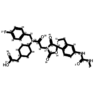 CNC(=O)Nc1ccc2c(c1)CC[C@@]21OC(=O)N(CC(=O)N(Cc2ccc(F)cc2)C2CCC(CC(=O)O)CC2)C1=O